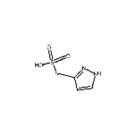 O=S(=O)(O)Sc1cc[nH]n1